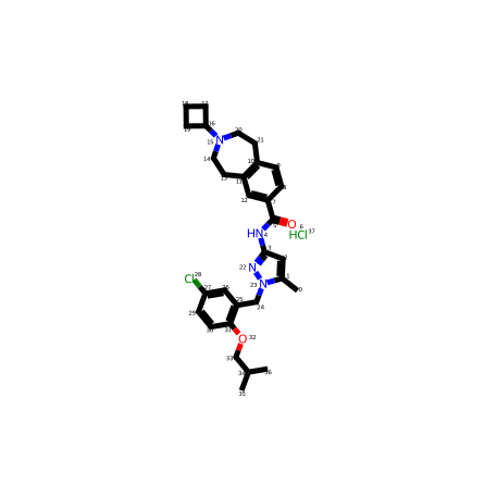 Cc1cc(NC(=O)c2ccc3c(c2)CCN(C2CCC2)CC3)nn1Cc1cc(Cl)ccc1OCC(C)C.Cl